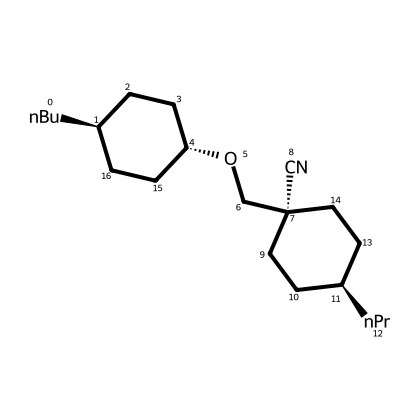 CCCC[C@H]1CC[C@H](OC[C@]2(C#N)CC[C@H](CCC)CC2)CC1